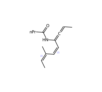 CC=C=C(/C=C\C(C)=C/C)NC(=O)CCC